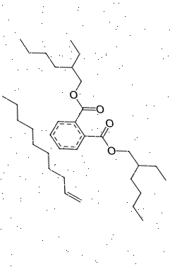 C=CCCCCCCCC.CCCCC(CC)COC(=O)c1ccccc1C(=O)OCC(CC)CCCC